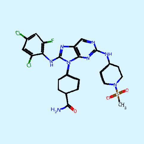 CS(=O)(=O)N1CCC(Nc2ncc3nc(Nc4c(F)cc(Cl)cc4Cl)n(C4CCC(C(N)=O)CC4)c3n2)CC1